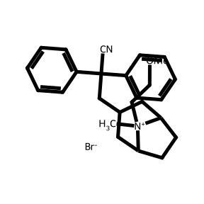 COCC[N+]1(C)C2CCC1CC(CC(C#N)(c1ccccc1)c1ccccc1)C2.[Br-]